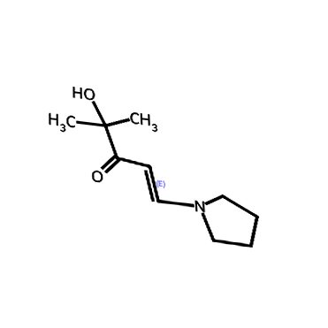 CC(C)(O)C(=O)/C=C/N1CCCC1